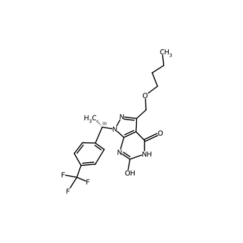 CCCCOCc1nn([C@@H](C)c2ccc(C(F)(F)F)cc2)c2nc(O)[nH]c(=O)c12